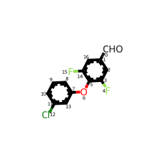 O=Cc1cc(F)c(Oc2cccc(Cl)c2)c(F)c1